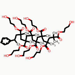 CCC(CC(C)(CC(C)(CC(C)(CC(C)(CC(C)(CC(C)(CC(C)(C)C(=O)OCCCO)C(=O)OCCCO)C(=O)OCCCO)C(=O)OCCCO)C(=O)OCCCO)C(=O)OCCCO)C(=O)OCCCO)c1ccccc1